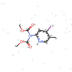 COC(=O)N(C(=O)OC)c1cc(I)c(C)cn1